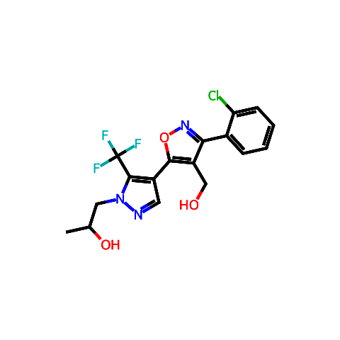 CC(O)Cn1ncc(-c2onc(-c3ccccc3Cl)c2CO)c1C(F)(F)F